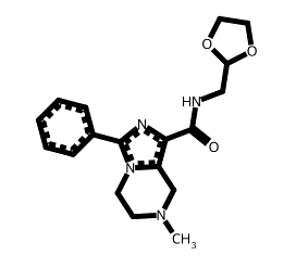 CN1CCn2c(-c3ccccc3)nc(C(=O)NCC3OCCO3)c2C1